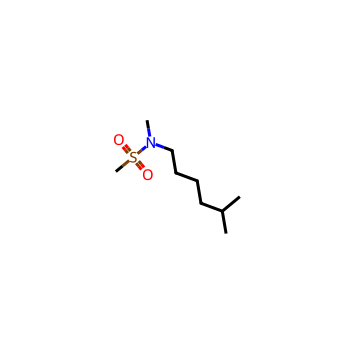 CC(C)CCCCN(C)S(C)(=O)=O